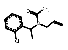 C=CCN(C(=O)C(F)(F)F)C(C)c1ccccc1Cl